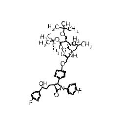 CC(C)C[C@@H](NC(=O)COc1ccc(C2C(CC[C@@H](O)c3ccc(F)cc3)C(=O)N2c2ccc(F)cc2)cc1)C(=O)NC(COC(C)(C)C)C(=O)OC(C)(C)C